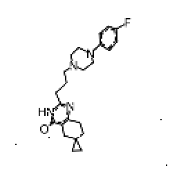 O=c1[nH]c(CCCN2CCN(c3ccc(F)cc3)CC2)nc2c1CC1(CC2)CC1